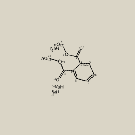 CCCCCCCCOC(=O)c1ccccc1C(=O)OCCCCCCCC.[NaH].[NaH].[NaH]